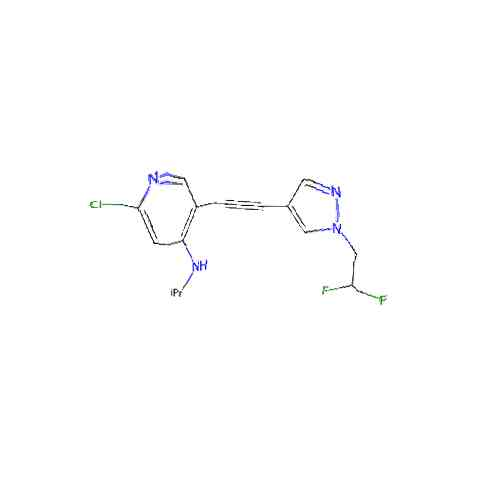 CC(C)Nc1cc(Cl)ncc1C#Cc1cnn(CC(F)F)c1